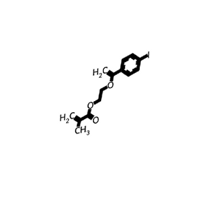 C=C(C)C(=O)OCCOC(=C)c1ccc(I)cc1